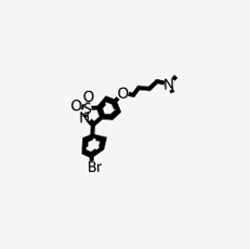 CN(C)CCCCOc1ccc2c(c1)S(=O)(=O)N=C2c1ccc(Br)cc1